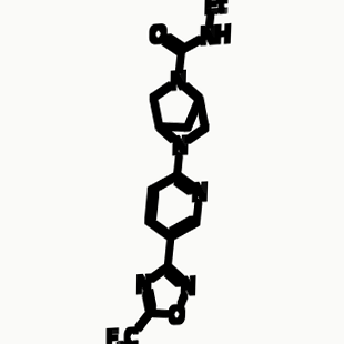 CCNC(=O)N1CC2CC1CN2c1ccc(-c2noc(C(F)(F)F)n2)cn1